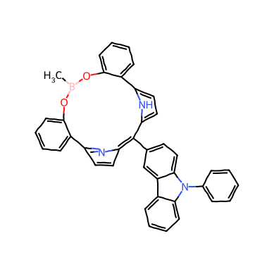 CB1Oc2ccccc2C2=N/C(=C(/c3ccc4c(c3)c3ccccc3n4-c3ccccc3)c3ccc([nH]3)-c3ccccc3O1)C=C2